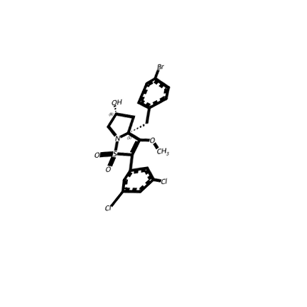 COC1=C(c2cc(Cl)cc(Cl)c2)S(=O)(=O)N2C[C@H](O)C[C@@]12Cc1ccc(Br)cc1